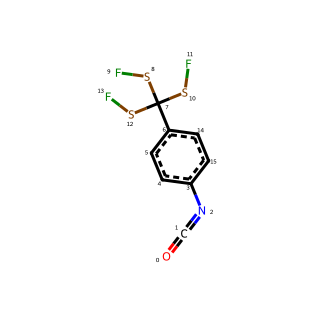 O=C=Nc1ccc(C(SF)(SF)SF)cc1